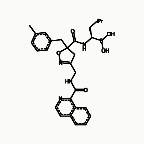 Cc1cccc(CC2(C(=O)N[C@@H](CC(C)C)B(O)O)CC(CNC(=O)c3nccc4ccccc34)=NO2)c1